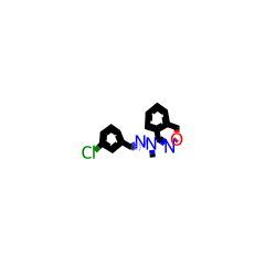 CN(/N=C/c1cccc(Cl)c1)C1=NOCc2ccccc21